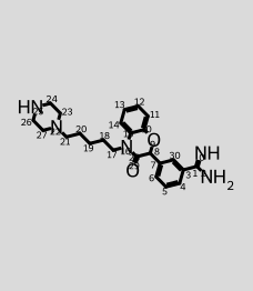 N=C(N)c1cccc(C2Oc3ccccc3N(CCCCCN3CCNCC3)C2=O)c1